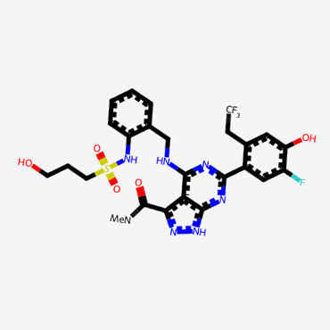 CNC(=O)c1n[nH]c2nc(-c3cc(F)c(O)cc3CC(F)(F)F)nc(NCc3ccccc3NS(=O)(=O)CCCO)c12